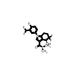 CP(C)C(=O)c1cn(-c2ccc(F)c(C(F)F)c2)c2c1[C@H](O)C(F)(F)CC2